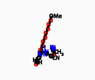 COCCOCCOCCOCCOCCOCCOCCOCCOc1nn([C@H]2CC[C@H](N3[C@@H]4CC[C@H]3COC4)CC2)cc1Nc1ncc(-c2ccc(C#N)c(O[C@@H](C)Cn3cnnn3)c2)cn1